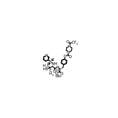 CC(C)(C)OC(=O)[C@H](Cc1ccc(OC(=O)N2CCN(C(=O)C(F)(F)F)CC2)cc1)NC(=O)[C@@H](NS(=O)(=O)c1cccnc1)C(C)(C)S